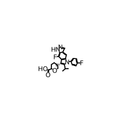 CC(C)c1c([C@H]2CCC(C(=O)O)OC2)c2c(F)c3[nH]ncc3cc2n1-c1ccc(F)cc1